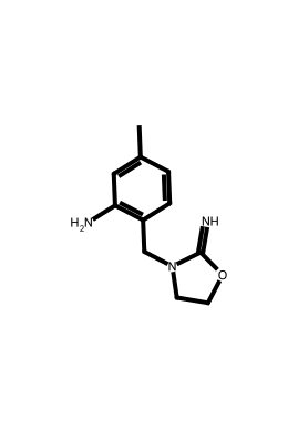 Cc1ccc(CN2CCOC2=N)c(N)c1